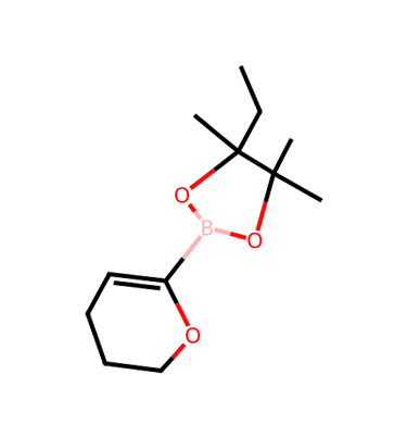 CCC1(C)OB(C2=CCCCO2)OC1(C)C